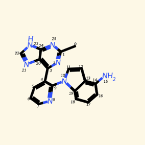 Cc1nc(-c2cccnc2-n2ccc3c(N)cccc32)c2nc[nH]c2n1